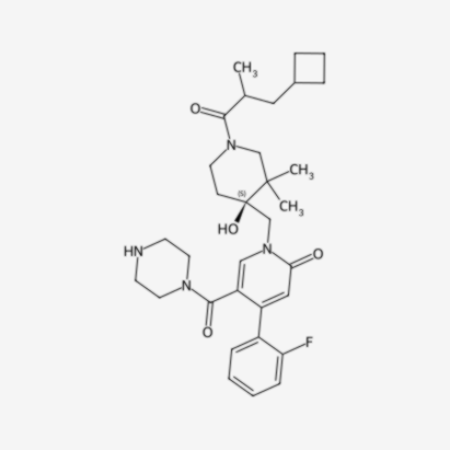 CC(CC1CCC1)C(=O)N1CC[C@@](O)(Cn2cc(C(=O)N3CCNCC3)c(-c3ccccc3F)cc2=O)C(C)(C)C1